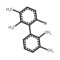 Cc1cccc(-c2c(Br)ccc(C)c2C)c1C